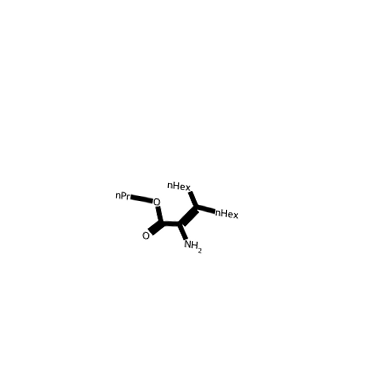 CCCCCCC(CCCCCC)=C(N)C(=O)OCCC